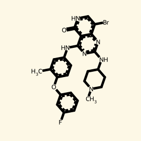 Cc1cc(Nc2nc(NC3CCN(C)CC3)nc3c(Br)c[nH]c(=O)c23)ccc1Oc1cccc(F)c1